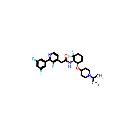 CC(C)N1CCC(O[C@H]2CCCC(F)(F)[C@@H]2NC(=O)Cc2ccnc(-c3cc(F)cc(F)c3)c2F)CC1